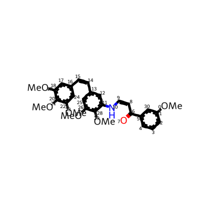 COc1cccc(C(=O)/C=C\Nc2cc(/C=C\c3cc(OC)c(OC)c(OC)c3)cc(OC)c2OC)c1